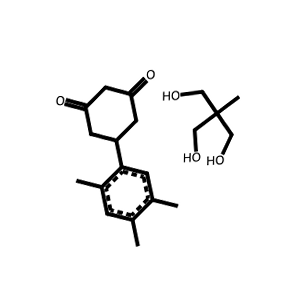 CC(CO)(CO)CO.Cc1cc(C)c(C2CC(=O)CC(=O)C2)cc1C